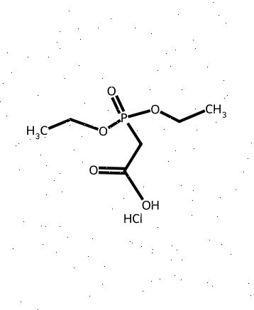 CCOP(=O)(CC(=O)O)OCC.Cl